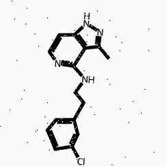 Cc1n[nH]c2ccnc(NCCc3cccc(Cl)c3)c12